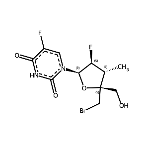 C[C@H]1[C@H](F)[C@H](n2cc(F)c(=O)[nH]c2=O)O[C@@]1(CO)CBr